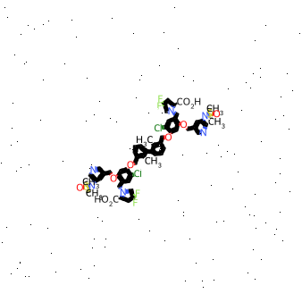 Cc1c(COc2cc(OCc3cncc(N=S(C)(C)=O)c3)c(CN3CC(F)(F)C[C@H]3C(=O)O)cc2Cl)cccc1-c1cccc(COc2cc(OCc3cncc(N=S(C)(C)=O)c3)c(CN3CC(F)(F)C[C@H]3C(=O)O)cc2Cl)c1C